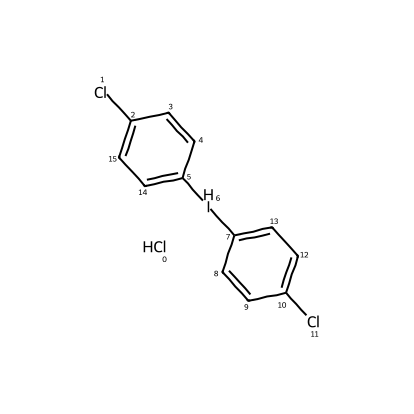 Cl.Clc1ccc([IH]c2ccc(Cl)cc2)cc1